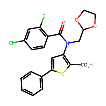 O=C(O)c1sc(-c2ccccc2)cc1N(CC1OCCO1)C(=O)c1ccc(Cl)cc1Cl